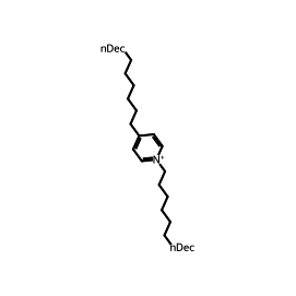 CCCCCCCCCCCCCCCCc1cc[n+](CCCCCCCCCCCCCCCC)cc1